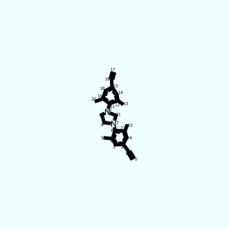 C#Cc1cc(C)c(N2CCN(c3c(C)cc(C#C)cc3C)C2)c(C)c1